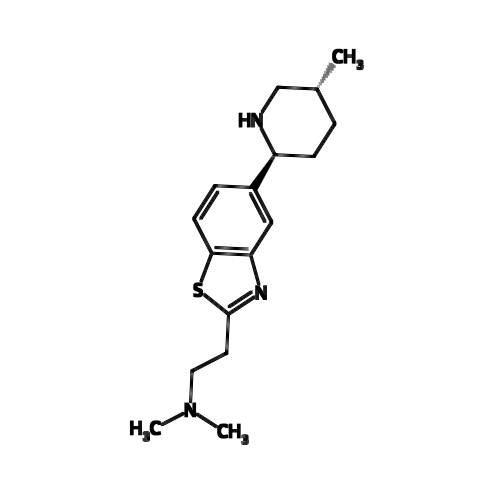 C[C@@H]1CC[C@@H](c2ccc3sc(CCN(C)C)nc3c2)NC1